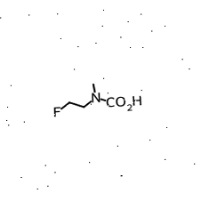 CN(CCF)C(=O)O